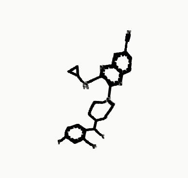 N#Cc1ccc2nc(N3CCC(C(F)c4ccc(F)cc4F)CC3)c(NC3CC3)nc2c1